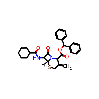 C=C1CS[C@@H]2C(NC(=O)C3CCCCC3)C(=O)N2C1C(=O)OC(c1ccccc1)c1ccccc1